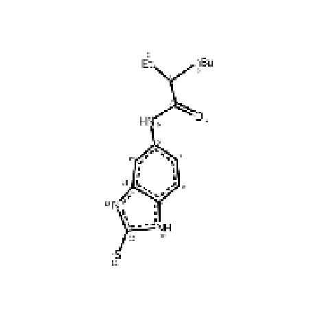 CCCCC(CC)C(=O)Nc1ccc2[nH]c([S])nc2c1